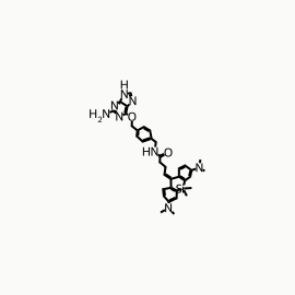 CN(C)c1ccc2c(c1)[Si](C)(C)c1cc(N(C)C)ccc1C2=CCCC(=O)NCc1ccc(COc2nc(N)nc3[nH]cnc23)cc1